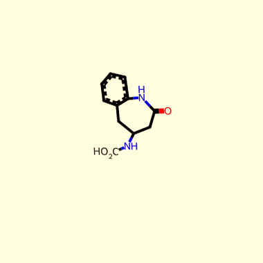 O=C(O)NC1CC(=O)Nc2ccccc2C1